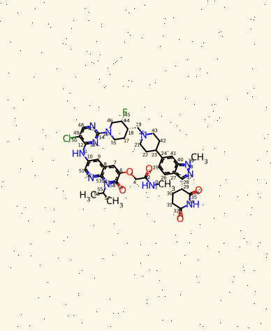 CNC(=O)COc1cc2cc(Nc3nc(N4CC[C@@H](CN5CCC(c6ccc7c([C@H]8CCC(=O)NC8=O)nn(C)c7c6)CC5)[C@@H](F)C4)ncc3Cl)cnc2n(C(C)C)c1=O